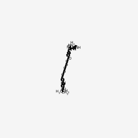 CC(C)(C)OC(=O)N1CCc2nc(N3CCN(CCOCCOCCOCCOCCOCCC(=O)N4CCc5cc(Cn6nc(-c7cnc8[nH]ccc8c7)c7c(N)ncnc76)ccc5C4)CC3)ncc2C1